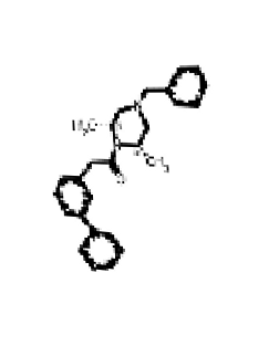 C[C@@H]1CN(Cc2ccccc2)C[C@H](C)N1C(=O)Cc1cccc(-c2ccccc2)c1